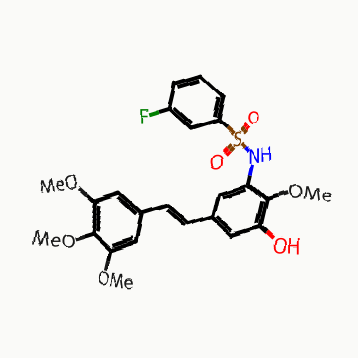 COc1cc(C=Cc2cc(O)c(OC)c(NS(=O)(=O)c3cccc(F)c3)c2)cc(OC)c1OC